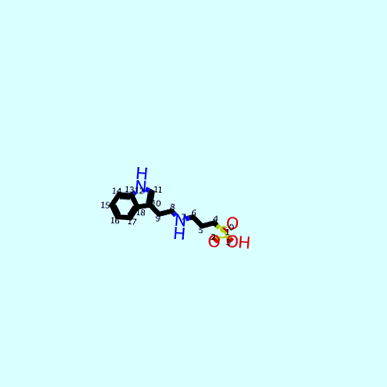 O=S(=O)(O)CCCNCCc1c[nH]c2ccccc12